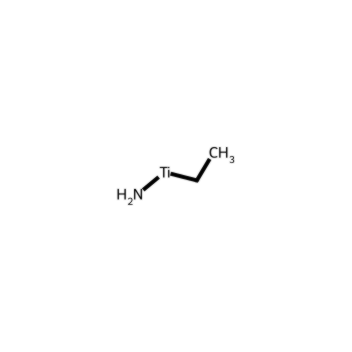 C[CH2][Ti][NH2]